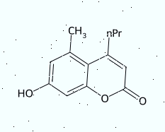 CCCc1cc(=O)oc2cc(O)cc(C)c12